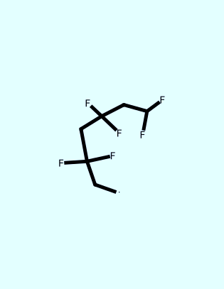 [CH2]CC(F)(F)CC(F)(F)CC(F)F